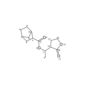 CC(OC(=O)C1CC2CCC1C2)C1CCOC1=O